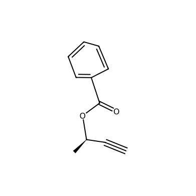 C#C[C@@H](C)OC(=O)c1ccccc1